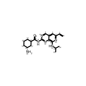 C=Cc1cc2cnc(NC(=O)C3CCC[C@@H](N)C3)nc2c(NC(C)C)n1